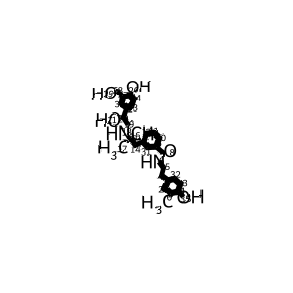 Cc1cc(CCNC(=O)c2cccc(CC(C)(C)NC[C@@H](O)c3ccc(O)c(CO)c3)c2)ccc1O